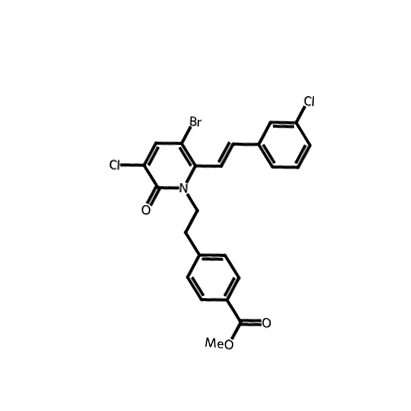 COC(=O)c1ccc(CCn2c(/C=C/c3cccc(Cl)c3)c(Br)cc(Cl)c2=O)cc1